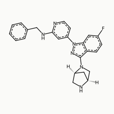 Fc1ccc2c(N3C[C@@H]4C[C@H]3CN4)nn(-c3ccnc(NCc4ccccc4)c3)c2c1